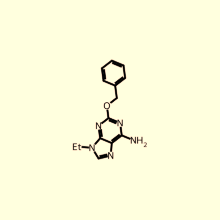 CCn1cnc2c(N)nc(OCc3ccccc3)nc21